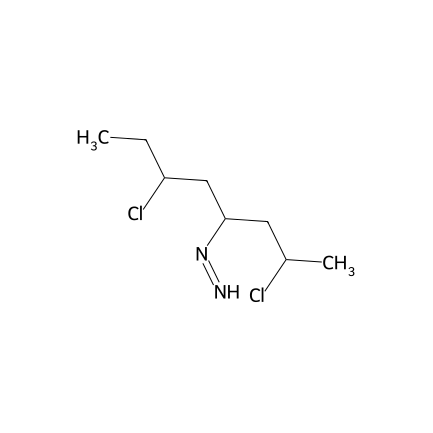 CCC(Cl)CC(CC(C)Cl)N=N